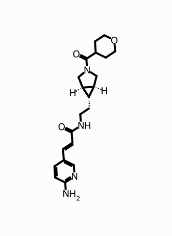 Nc1ccc(/C=C/C(=O)NCC[C@@H]2[C@H]3CN(C(=O)C4CCOCC4)C[C@@H]23)cn1